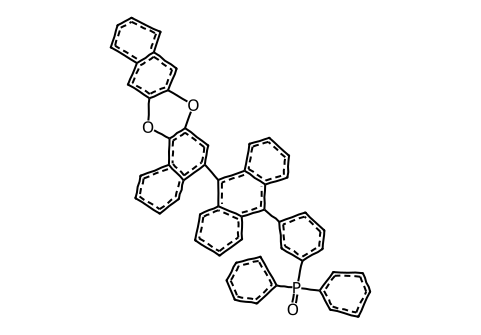 O=P(c1ccccc1)(c1ccccc1)c1cccc(-c2c3ccccc3c(-c3cc4c(c5ccccc35)Oc3cc5ccccc5cc3O4)c3ccccc23)c1